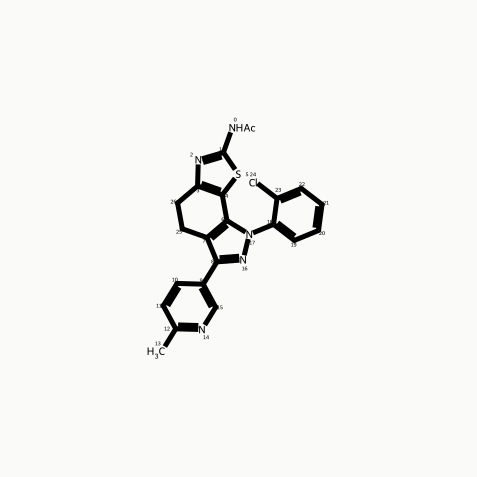 CC(=O)Nc1nc2c(s1)-c1c(c(-c3ccc(C)nc3)nn1-c1ccccc1Cl)CC2